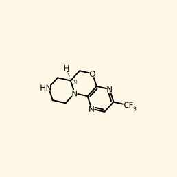 FC(F)(F)c1cnc2c(n1)OC[C@@H]1CNCCN21